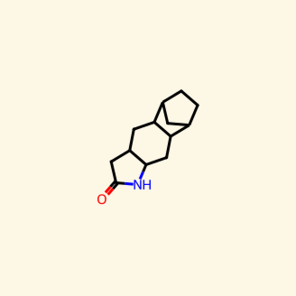 O=C1CC2CC3C4CCC(C4)C3CC2N1